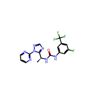 C[C@H](NC(=O)Nc1cc(F)cc(C(F)(F)F)c1)c1ncnn1-c1ncccn1